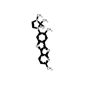 Cc1ccc2c(n1)oc1c3cc(C)c(N4C=CN(C)C4(C)C)cc3oc21